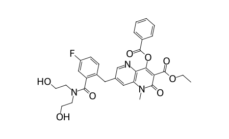 CCOC(=O)c1c(OC(=O)c2ccccc2)c2ncc(Cc3ccc(F)cc3C(=O)N(CCO)CCO)cc2n(C)c1=O